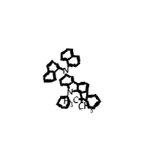 CC1(C)c2ccccc2-c2ccc3c4cc(N(c5cccc6ccccc56)c5cccc6ccccc56)ccc4n(-c4ccccc4)c3c21